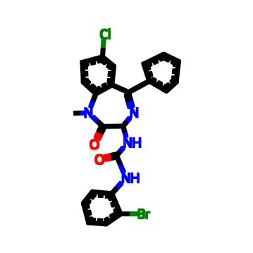 CN1C(=O)C(NC(=O)Nc2ccccc2Br)N=C(c2ccccc2)c2cc(Cl)ccc21